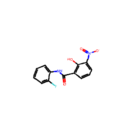 O=C(Nc1ccccc1F)c1cccc([N+](=O)[O-])c1O